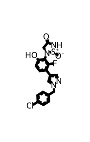 O=C1CN(c2c(O)ccc(-c3cnn(Cc4ccc(Cl)cc4)c3)c2F)[S+]([O-])N1